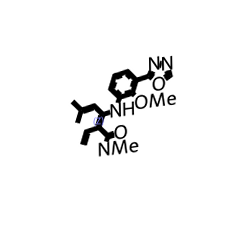 C=C/C(C(=O)NC)=C(\C=C(C)C)Nc1cccc(-c2nnco2)c1OC